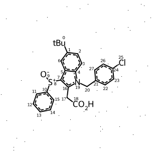 CC(C)(C)c1ccc2c(c1)c([S+]([O-])c1ccccc1)c(CC(=O)O)n2Cc1ccc(Cl)cc1